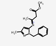 COC(=O)C/C(C)=N/c1cc(C)nn1Cc1ccccc1